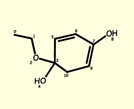 CCOC1(O)C=CC(O)=CC1